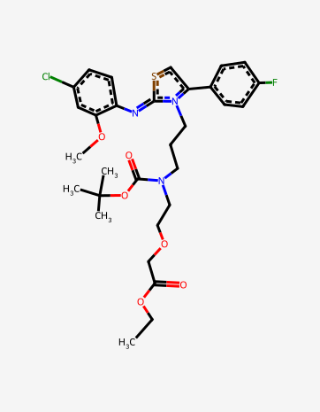 CCOC(=O)COCCN(CCCn1c(-c2ccc(F)cc2)csc1=Nc1ccc(Cl)cc1OC)C(=O)OC(C)(C)C